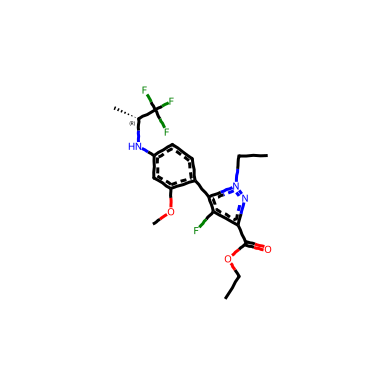 CCOC(=O)c1nn(CC)c(-c2ccc(N[C@H](C)C(F)(F)F)cc2OC)c1F